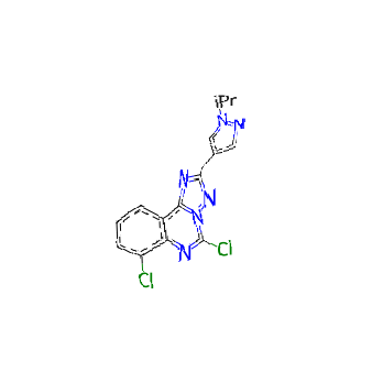 CC(C)n1cc(-c2nc3c4cccc(Cl)c4nc(Cl)n3n2)cn1